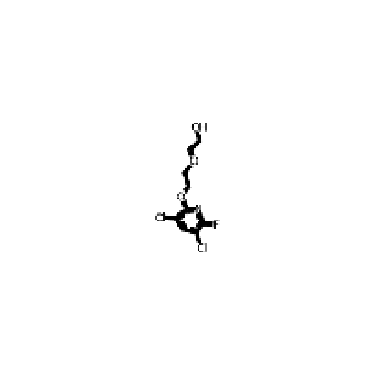 OCCOCCOc1nc(F)c(Cl)cc1Cl